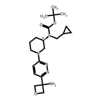 CC(C)(C)OC(=O)N(CC1CC1)[C@@H]1CCCN(c2ccc(C3(N)COC3)nn2)C1